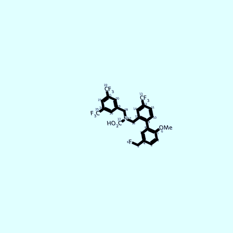 COc1ccc(CF)cc1-c1ccc(C(F)(F)F)cc1CN(Cc1cc(C(F)(F)F)cc(C(F)(F)F)c1)C(=O)O